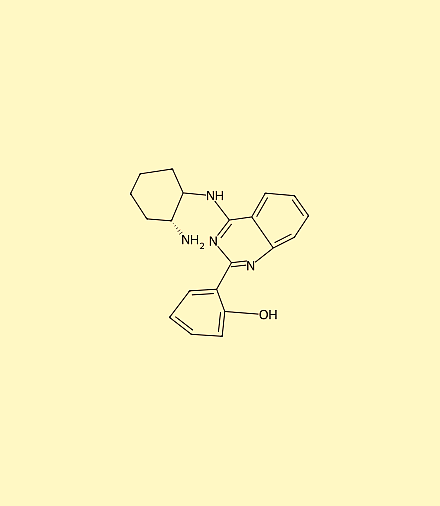 N[C@@H]1CCCCC1Nc1nc(-c2ccccc2O)nc2ccccc12